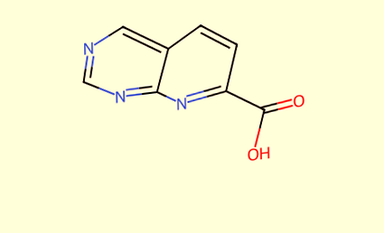 O=C(O)c1ccc2cncnc2n1